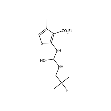 CCOC(=O)c1c(C)csc1NC(O)NCC(C)(C)F